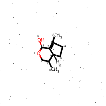 CC1=C2[C@H](O)OCC(C)[C@H]2CC1